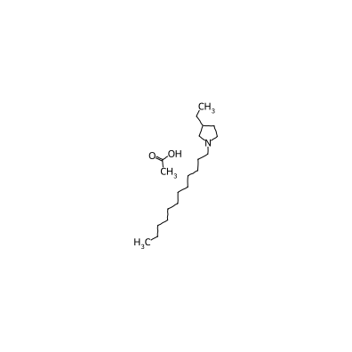 CC(=O)O.CCCCCCCCCCCCN1CCC(CC)C1